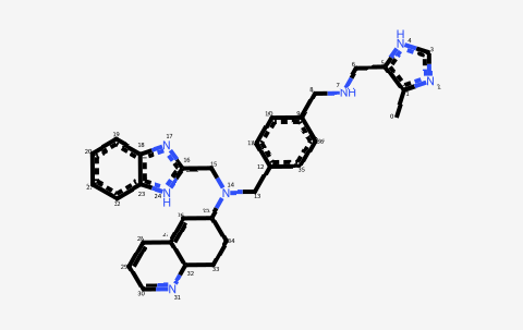 Cc1nc[nH]c1CNCc1ccc(CN(Cc2nc3ccccc3[nH]2)C2C=C3C=CC=NC3CC2)cc1